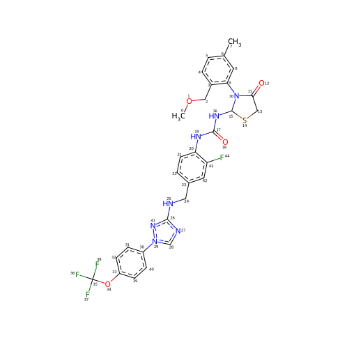 COCc1ccc(C)cc1N1C(=O)CSC1NC(=O)Nc1ccc(CNc2ncn(-c3ccc(OC(F)(F)F)cc3)n2)cc1F